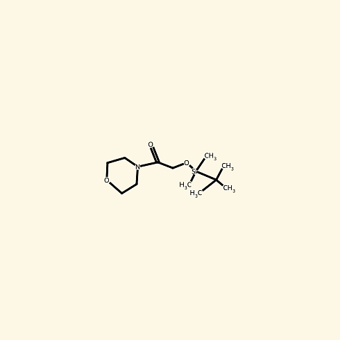 CC(C)(C)[Si](C)(C)OCC(=O)N1CCOCC1